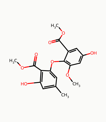 COC(=O)c1cc(O)cc(OC)c1Oc1cc(C)cc(O)c1C(=O)OC